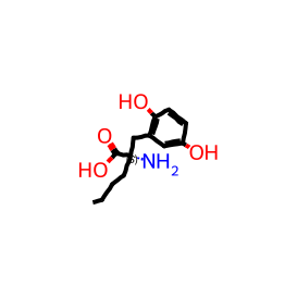 CCCC[C@](N)(Cc1cc(O)ccc1O)C(=O)O